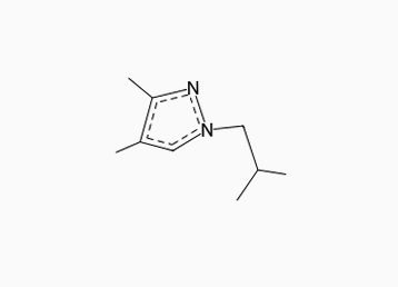 Cc1cn(CC(C)C)nc1C